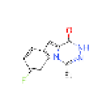 CCc1n[nH]c(=O)c2cc3ccc(F)cc3n12